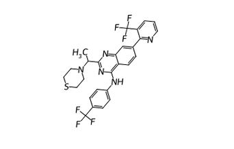 CC(c1nc(Nc2ccc(C(F)(F)F)cc2)c2ccc(-c3ncccc3C(F)(F)F)cc2n1)N1CCSCC1